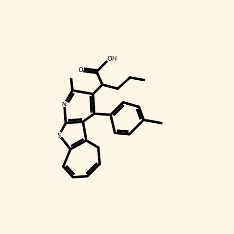 CCCC(C(=O)O)c1c(C)nc2sc3c(c2c1-c1ccc(C)cc1)CC=CC=C3